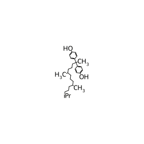 CC(C)CCCC(C)CCCC(C)CCCC(C)(c1ccc(O)cc1)c1ccc(O)cc1